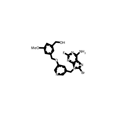 COc1cc(CO)cc(COc2cncc(Cn3c(Br)nc4c(N)nc(F)nc43)c2)c1